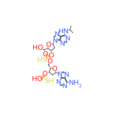 CC(C)Nc1ncnc2c1ncn2[C@H]1C[C@H](OP(=O)(S)OC[C@H]2O[C@@H](n3cnc4c(N)ncnc43)C[C@@H]2OP(O)S)[C@@H](CO)O1